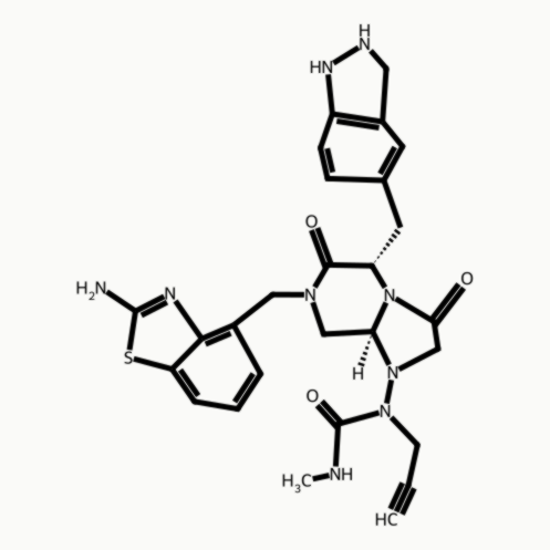 C#CCN(C(=O)NC)N1CC(=O)N2[C@@H](Cc3ccc4c(c3)CNN4)C(=O)N(Cc3cccc4sc(N)nc34)C[C@@H]21